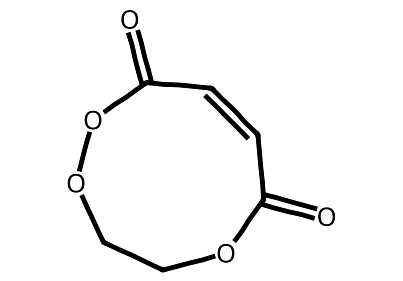 O=C1C=CC(=O)OOCCO1